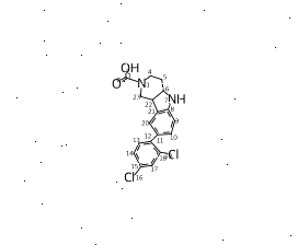 O=C(O)N1CCC2Nc3ccc(-c4ccc(Cl)cc4Cl)cc3C2C1